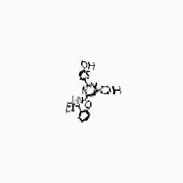 CCC(NC(=O)c1cc(O)nc(-c2ccc(O)s2)n1)c1ccccc1